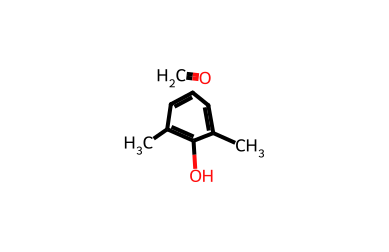 C=O.Cc1cccc(C)c1O